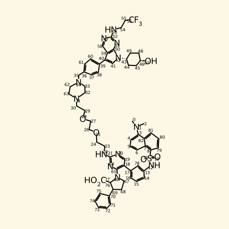 CN(C)c1cccc2c(S(=O)(=O)Nc3cccc(-c4cnc(NCCOCCOCCN5CCN(Cc6ccc(-c7cn([C@H]8CC[C@H](O)CC8)c8nc(NCCC(F)(F)F)ncc78)cc6)CC5)nc4N4CCC(c5ccccc5)C4C(=O)O)c3)cccc12